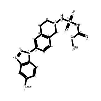 COc1ccc2c(c1)nnn2-c1ccc2c(c1)CCN(NS(=O)(=O)NC(=O)OC(C)(C)C)C2